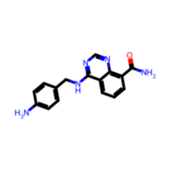 NC(=O)c1cccc2c(NCc3ccc(N)cc3)ncnc12